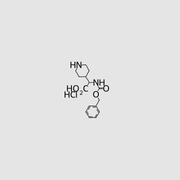 Cl.O=C(NC(C(=O)O)C1CCNCC1)OCc1ccccc1